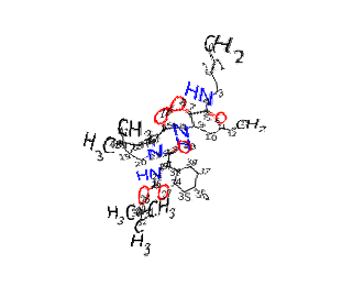 C=CCCNC(=O)C(=O)C(CCC=C)NC(=O)[C@@H]1C2C(CN1C(=O)[C@@H](NC(=O)OC(C)(C)C)C1CCCCC1)C2(C)C